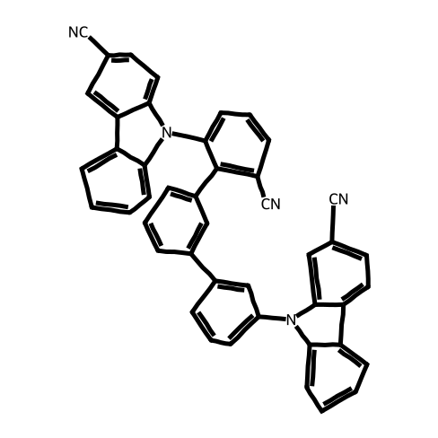 N#Cc1ccc2c(c1)c1ccccc1n2-c1cccc(C#N)c1-c1cccc(-c2cccc(-n3c4ccccc4c4ccc(C#N)cc43)c2)c1